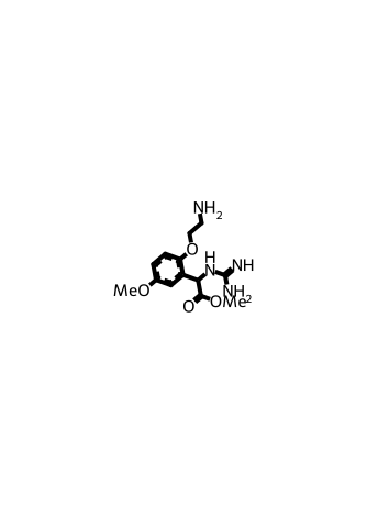 COC(=O)C(NC(=N)N)c1cc(OC)ccc1OCCN